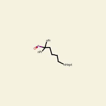 CCCCCCCCCCCC(CCC)(CCC)P=O